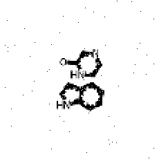 O=c1cncc[nH]1.c1ccc2[nH]ccc2c1